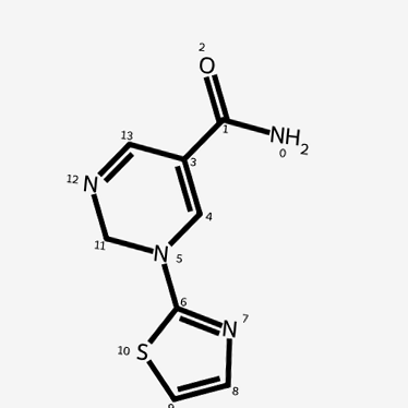 NC(=O)C1=CN(c2nccs2)CN=C1